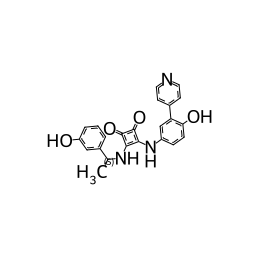 C[C@H](Nc1c(Nc2ccc(O)c(-c3ccncc3)c2)c(=O)c1=O)c1cccc(O)c1